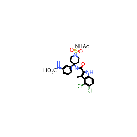 CC(=O)NS(=O)(=O)N1CCC(NC(=O)c2[nH]c3ccc(Cl)c(Cl)c3c2C)(c2cccc(NC(=O)O)c2)CC1